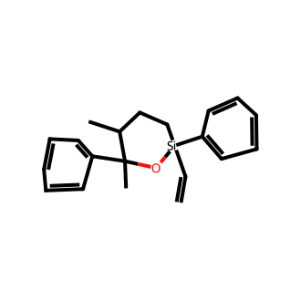 C=C[Si]1(c2ccccc2)CCC(C)C(C)(c2ccccc2)O1